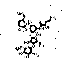 CNC[C@@H]1CC[C@@H](N)[C@@H](O[C@H]2[C@H](O[C@@H]3O[C@H](CO)[C@@H](O[C@H]4O[C@@H](CN)[C@@H](O)[C@H](O)[C@H]4N)[C@H]3O)[C@@H](O)[C@H](NC(=O)[C@@H](O)CCN)C[C@@H]2N)O1